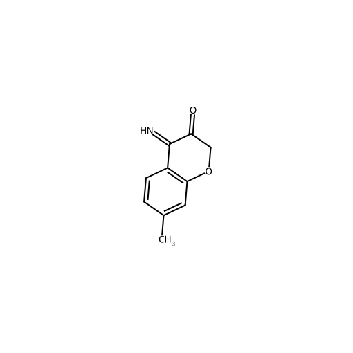 Cc1ccc2c(c1)OCC(=O)C2=N